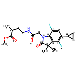 COC(=O)[C@@H](C)CCNC(=O)CN1C(=O)C(C)(C)c2c(F)c(C3CC3)cc(F)c21